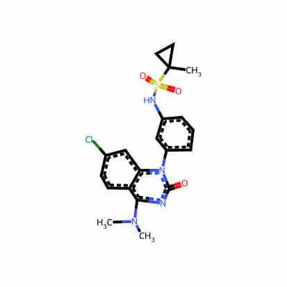 CN(C)c1nc(=O)n(-c2cccc(NS(=O)(=O)C3(C)CC3)c2)c2cc(Cl)ccc12